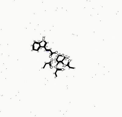 CCC(=O)OC1=C(OC(=O)CC)[C@H](OC(=O)CC)[C@H](OC(=O)/C=C/c2c[nH]c3ccccc23)O[C@H]1C